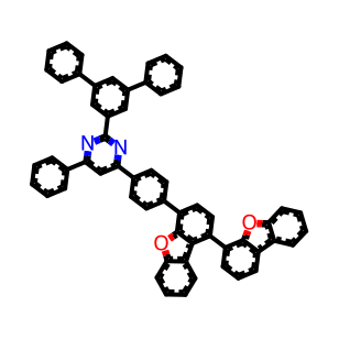 c1ccc(-c2cc(-c3ccccc3)cc(-c3nc(-c4ccccc4)cc(-c4ccc(-c5ccc(-c6cccc7c6oc6ccccc67)c6c5oc5ccccc56)cc4)n3)c2)cc1